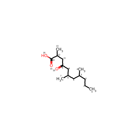 CCCC(C)CC(C)CC(=O)CC(C)C(=O)O